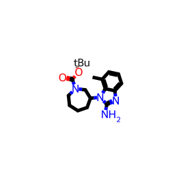 Cc1cccc2nc(N)n(C3CCCCN(C(=O)OC(C)(C)C)C3)c12